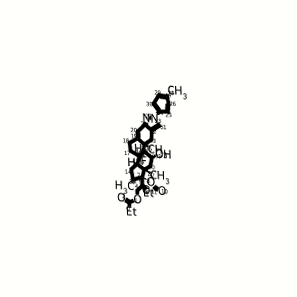 CCC(=O)OCC(=O)[C@@]1(OC(=O)CC)[C@@H](C)C[C@H]2[C@@H]3CCC4=Cc5nn(-c6ccc(C)cc6)cc5C[C@]4(C)[C@@]3(F)[C@@H](O)C[C@@]21C